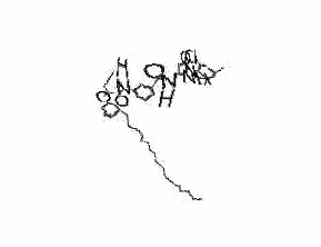 CCCCCCCCCCCCCCCc1cccc(OC(CC)C(=O)Nc2cccc(C(=O)Nc3cc(=O)n(-c4c(C)cc(C)cc4Cl)[nH]3)c2)c1